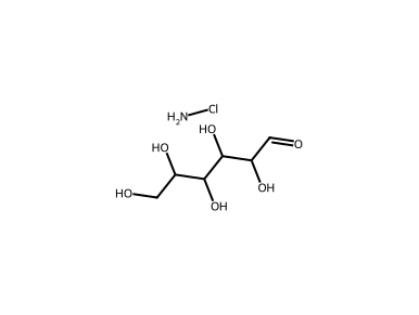 NCl.O=CC(O)C(O)C(O)C(O)CO